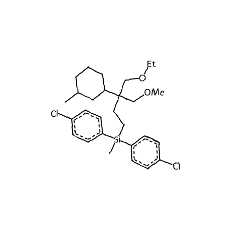 CCOCC(CC[Si](C)(c1ccc(Cl)cc1)c1ccc(Cl)cc1)(COC)C1CCCC(C)C1